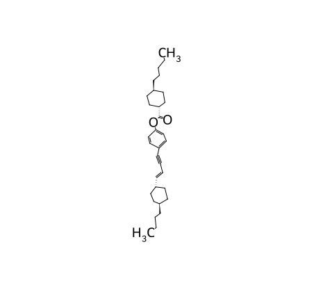 CCCCC[C@H]1CC[C@H](C(=O)Oc2ccc(C#CC=C[C@H]3CC[C@H](CCCC)CC3)cc2)CC1